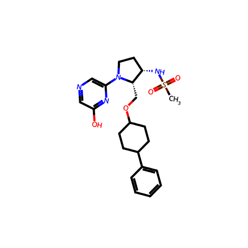 CS(=O)(=O)N[C@H]1CCN(c2cncc(O)n2)[C@H]1COC1CCC(c2ccccc2)CC1